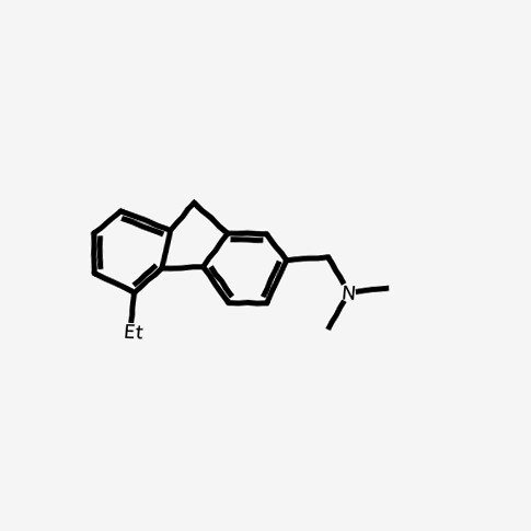 CCc1cccc2c1-c1ccc(CN(C)C)cc1C2